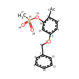 CC(=O)c1ccc(OCc2ccccc2)cc1OS(C)(=O)=O